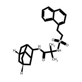 CC(C)(NS(=O)(=O)CCc1cccc2ccccc12)C(=O)NC1C2C[C@H]3CC1C[C@H](C2)C3